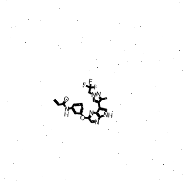 C=CC(=O)Nc1cccc(Oc2cnc3[nH]cc(-c4cn(CC(F)(F)F)nc4C)c3n2)c1